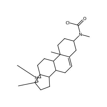 CC1C2CCC3C4CC=C5CC(N(C)C(=O)Cl)CCC5(C)C4CCC32CN1C